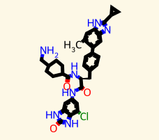 Cc1cc2[nH]c(C3CC3)nc2cc1-c1ccc(C[C@H](NC(=O)C2CCC(CN)CC2)C(=O)Nc2cc(Cl)c3[nH]c(=O)[nH]c3c2)cc1